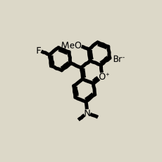 COc1cccc2[o+]c3cc(N(C)C)ccc3c(-c3ccc(F)cc3)c12.[Br-]